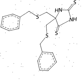 S=C1NC(=S)C(CSCc2ccccc2)(CSCc2ccccc2)N1